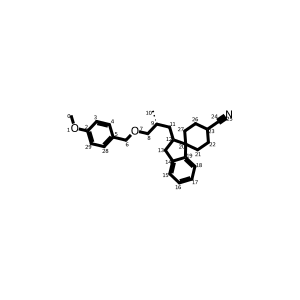 COc1ccc(COC[C@H](C)CC2Cc3ccccc3C23CCC(C#N)CC3)cc1